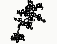 CC(=O)OC[C@H]1O[C@@H](Oc2n[nH]c(C(C)C)c2Cc2ccc(OCCCC(=O)NC(C)(C)C(=O)O)cc2C)[C@H](OC(C)=O)[C@@H](OC(C)=O)[C@H]1OC(C)=O